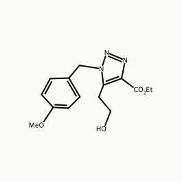 CCOC(=O)c1nnn(Cc2ccc(OC)cc2)c1CCO